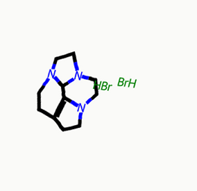 Br.Br.C1CN2CCN3CCN4CCC1=C2C43